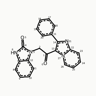 O=C(Cn1c(=O)[nH]c2ccccc21)c1c(-c2ccccc2)nc2ccccn12